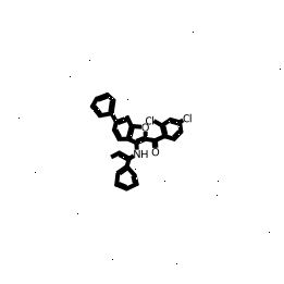 C/C=C(/Nc1c(C(=O)c2ccc(Cl)cc2Cl)oc2cc(-c3ccccc3)ccc12)c1ccccc1